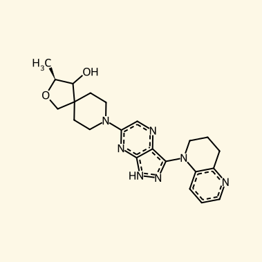 C[C@@H]1OCC2(CCN(c3cnc4c(N5CCCc6ncccc65)n[nH]c4n3)CC2)C1O